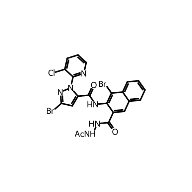 CC(=O)NNC(=O)c1cc2ccccc2c(Br)c1NC(=O)c1cc(Br)nn1-c1ncccc1Cl